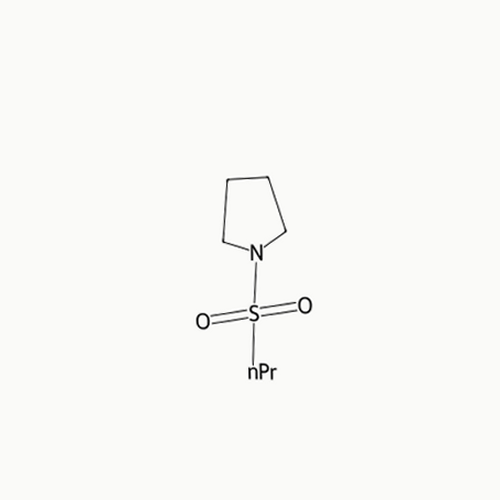 CCCS(=O)(=O)N1CCCC1